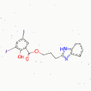 O=C(OCCCc1nc2ccccc2[nH]1)c1cc(I)cc(I)c1O